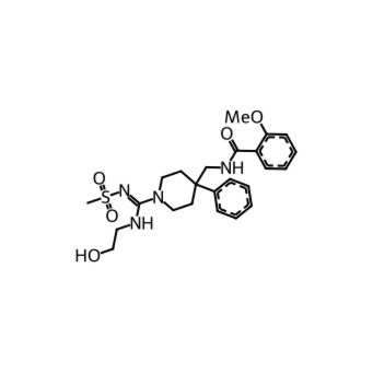 COc1ccccc1C(=O)NCC1(c2ccccc2)CCN(C(=NS(C)(=O)=O)NCCO)CC1